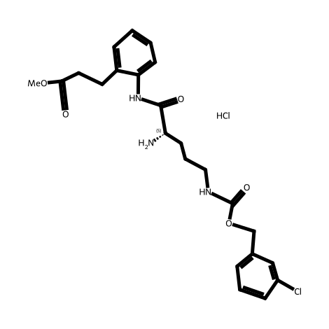 COC(=O)CCc1ccccc1NC(=O)[C@@H](N)CCCNC(=O)OCc1cccc(Cl)c1.Cl